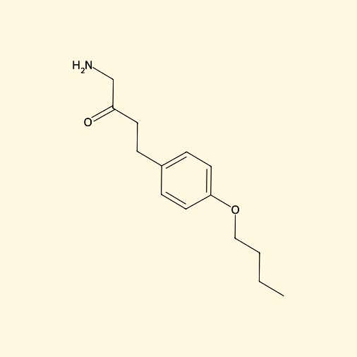 CCCCOc1ccc(CCC(=O)CN)cc1